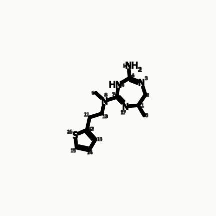 CC1CN=C(N)NC(N(C)CCc2cccs2)=N1